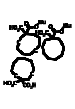 CC(C)(C)OC(=O)C1(C(=O)O)CCCCCCCCC1.CC(C)(C)OC(=O)C1(C(=O)O)CCCCCCCCC1.O=C(O)C1(C(=O)O)CCCCCCCCC1